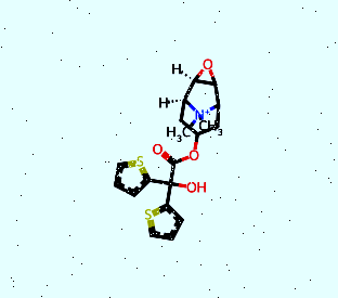 C[N+]1(C)C2CC(OC(=O)C(O)(c3cccs3)c3cccs3)C[C@H]1[C@H]1OC21